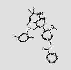 COc1cc(OC(=O)c2ccccn2)ccc1-c1ccc2c(c1COc1cc(F)ccc1C)C(C)=CC(C)(C)N2